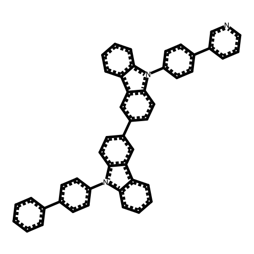 c1ccc(-c2ccc(-n3c4ccccc4c4cc(-c5ccc6c(c5)c5ccccc5n6-c5ccc(-c6cccnc6)cc5)ccc43)cc2)cc1